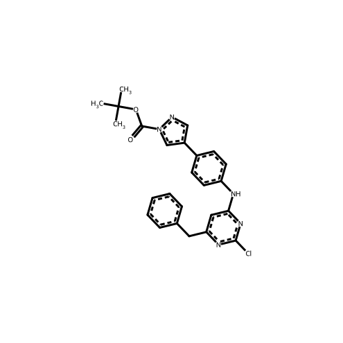 CC(C)(C)OC(=O)n1cc(-c2ccc(Nc3cc(Cc4ccccc4)nc(Cl)n3)cc2)cn1